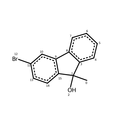 CC1(O)c2ccccc2-c2cc(Br)ccc21